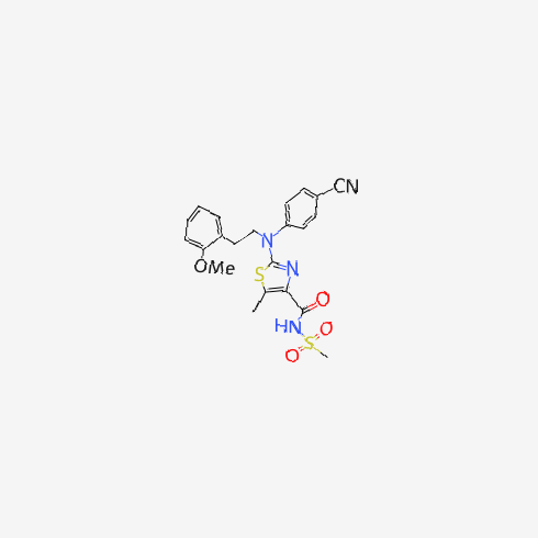 COc1ccccc1CCN(c1ccc(C#N)cc1)c1nc(C(=O)NS(C)(=O)=O)c(C)s1